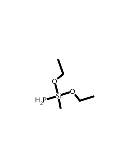 CCO[Si](C)(P)OCC